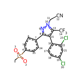 CS(=O)(=O)c1ccc(-c2nn(CC#N)c(C(F)(F)F)c2-c2ccc(Cl)cc2Cl)cc1